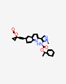 CC(OC(=O)Nc1c(-c2ccc3cc(C#CC4(OC=O)CC4)ccc3n2)cnn1C)c1ccccc1